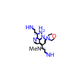 CN/C(=C\C=N)c1cc(N2CCOCC2)nc2c(/C(N)=C/C=N)nccc12